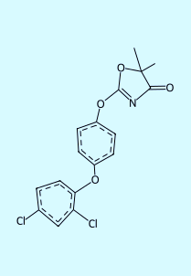 CC1(C)OC(Oc2ccc(Oc3ccc(Cl)cc3Cl)cc2)=NC1=O